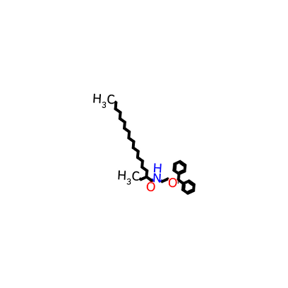 CCCCCCCCCCCCCCCCC(CC)C(=O)NCCO[C](c1ccccc1)c1ccccc1